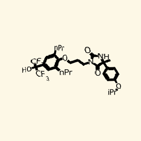 CCCc1cc(C(O)(C(F)(F)F)C(F)(F)F)cc(CCC)c1OCCCN1C(=O)NC(C)(c2ccc(OC(C)C)cc2)C1=O